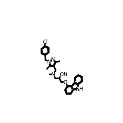 Cc1nn(Cc2ccc(Cl)cc2)c(C)c1CN(C)CC(O)COc1cccc2[nH]c3ccccc3c12